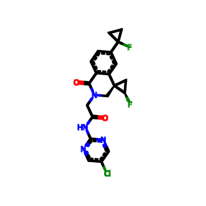 O=C(CN1C[C@]2(C[C@H]2F)c2cc(C3(F)CC3)ccc2C1=O)Nc1ncc(Cl)cn1